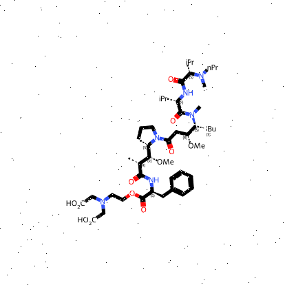 CCCN(C)[C@H](C(=O)N[C@H](C(=O)N(C)[C@@H]([C@@H](C)CC)[C@@H](CC(=O)N1CCC[C@H]1[C@H](OC)[C@@H](C)C(=O)N[C@@H](Cc1ccccc1)C(=O)OCCN(CC(=O)O)CC(=O)O)OC)C(C)C)C(C)C